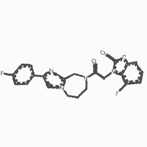 O=C(Cn1c(=O)oc2cccc(F)c21)N1CCCn2cc(-c3ccc(F)cc3)nc2C1